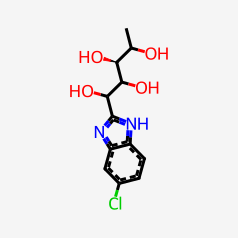 CC(O)[C@H](O)C(O)C(O)c1nc2cc(Cl)ccc2[nH]1